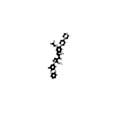 Cc1cc(-n2ncc(C(=O)c3cc4cc(OCC(F)F)c(N5CCC(N6CCOCC6)CC5)cc4[nH]3)c2N)ccc1Oc1ccccc1F